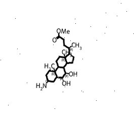 COC(=O)CC[C@@H](C)[C@H]1CCC2C3C(CC[C@@]21C)[C@@]1(C)CC[C@H](N)CC1[C@@H](O)[C@@H]3O